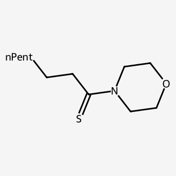 CCCCCCCC(=S)N1CCOCC1